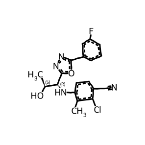 Cc1c(N[C@@H](c2nnc(-c3cccc(F)c3)o2)[C@H](C)O)ccc(C#N)c1Cl